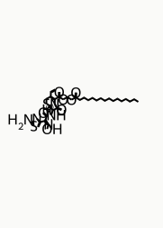 C=CC1=C(C(=O)OCOC(=O)CCCCCCCCCCCCCCC)N2C(=O)C(NC(=O)C(=NO)c3csc(N)n3)[C@@H]2SC1